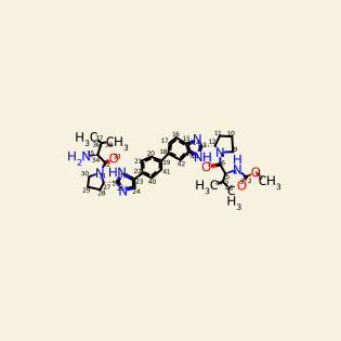 COC(=O)N[C@H](C(=O)N1CCC[C@H]1c1nc2ccc(-c3ccc(-c4cnc([C@@H]5CCCN5C(=O)[C@@H](N)C(C)C)[nH]4)cc3)cc2[nH]1)C(C)C